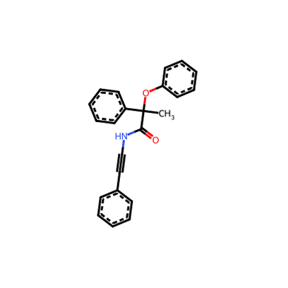 CC(Oc1ccccc1)(C(=O)NC#Cc1ccccc1)c1ccccc1